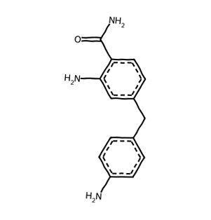 NC(=O)c1ccc(Cc2ccc(N)cc2)cc1N